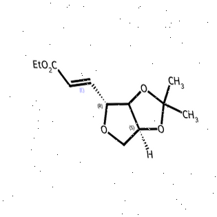 CCOC(=O)/C=C/[C@H]1OC[C@@H]2OC(C)(C)OC21